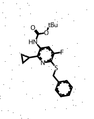 CC(C)(C)OC(=O)Nc1cc(F)c(SCc2ccccc2)nc1C1CC1